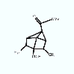 COC(=O)C12C3C(C)C4(C(=O)O)C(C)C1C342